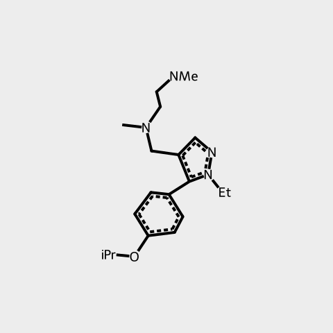 CCn1ncc(CN(C)CCNC)c1-c1ccc(OC(C)C)cc1